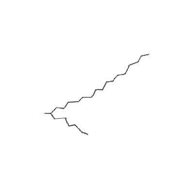 [CH2]C(CCCCCC)CCCCCCCCCCCCCCCC